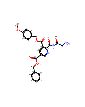 CC(C)Oc1ccc(COC(=O)c2cc(C(=O)OCc3ccccc3)cnc2C(=O)NC(=O)CN)cc1